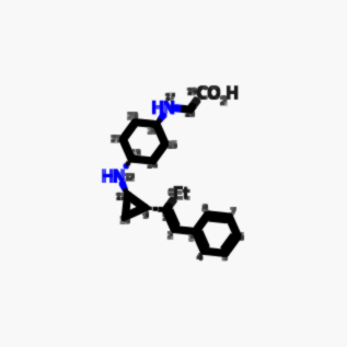 CC/C(=C\c1ccccc1)[C@@H]1C[C@H]1N[C@H]1CC[C@H](NCC(=O)O)CC1